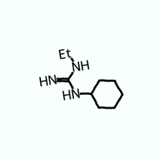 CCNC(=N)NC1CCCCC1